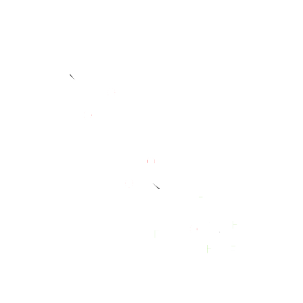 CC=C[C@H]1CO[C@H](CC[C@H]2CO[C@H](c3cc(F)c(OCC(F)(F)F)c(F)c3)OC2)OC1